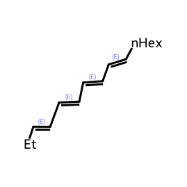 [CH2]C/C=C/C=C/C=C/C=C/CCCCCC